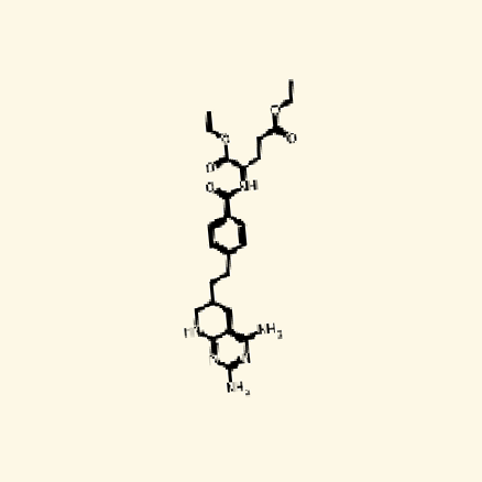 CCOC(=O)CC[C@@H](NC(=O)c1ccc(CCC2CNc3nc(N)nc(N)c3C2)cc1)C(=O)OCC